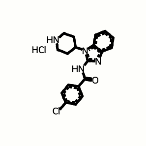 Cl.O=C(Nc1nc2ccccc2n1C1CCNCC1)c1ccc(Cl)cc1